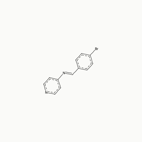 Brc1ccc(C=Nc2ccncc2)cc1